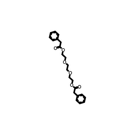 O=C(Cc1ccccc1)OCCOCCOCCOC(=O)Cc1ccccc1